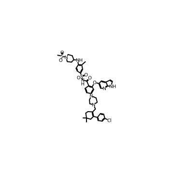 Cc1cc(S(=O)(=O)NC(=O)c2ccc(N3CCN(CC4=C(c5ccc(Cl)cc5)CC(C)(C)CC4)CC3)cc2Oc2cnc3[nH]ccc3c2)ccc1NC1CCN(S(C)(=O)=O)CC1